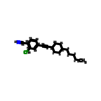 CCCCCC1CCC(C#Cc2ccc(C#N)c(Cl)c2)CC1